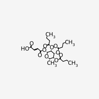 CCCC(=O)O[C@@H]1[C@@H](OC(=O)CCC)[C@H](C)O[C@H](OC(=O)/C=C/C(=O)O)[C@@H]1OC(=O)CCC